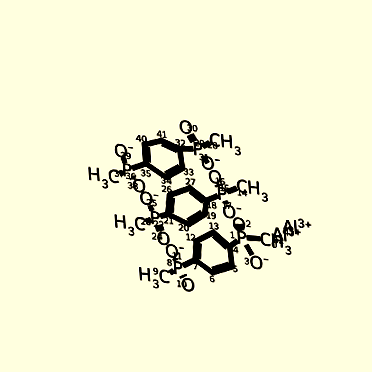 CP(=O)([O-])c1ccc(P(C)(=O)[O-])cc1.CP(=O)([O-])c1ccc(P(C)(=O)[O-])cc1.CP(=O)([O-])c1ccc(P(C)(=O)[O-])cc1.[Al+3].[Al+3]